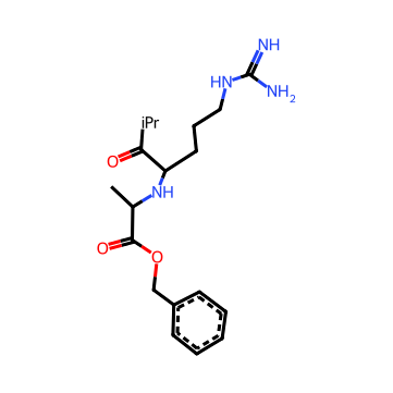 CC(C)C(=O)C(CCCNC(=N)N)NC(C)C(=O)OCc1ccccc1